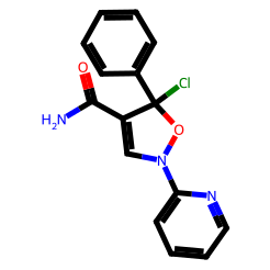 NC(=O)C1=CN(c2ccccn2)OC1(Cl)c1ccccc1